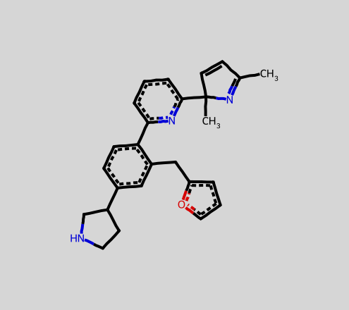 CC1=NC(C)(c2cccc(-c3ccc(C4CCNC4)cc3Cc3ccco3)n2)C=C1